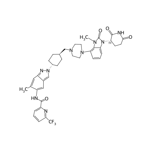 Cc1cc2nn([C@H]3CC[C@H](CN4CCN(c5cccc6c5n(C)c(=O)n6[C@H]5CCC(=O)NC5=O)CC4)CC3)cc2cc1NC(=O)c1cccc(C(F)(F)F)n1